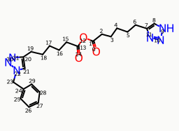 O=C(CCCCCc1c[nH]nn1)OC(=O)CCCCCc1cn(Cc2ccccc2)nn1